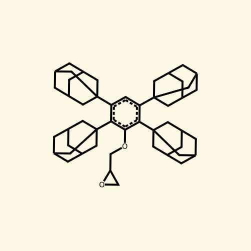 c1c(C23CC4CC(CC(C4)C2)C3)c(C23CC4CC(CC(C4)C2)C3)c(OCC2CO2)c(C23CC4CC(CC(C4)C2)C3)c1C12CC3CC(CC(C3)C1)C2